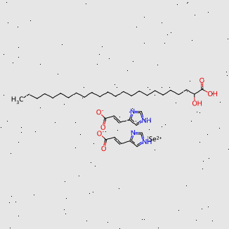 CCCCCCCCCCCCCCCCCCCCCCC(O)C(=O)O.O=C([O-])C=Cc1c[nH]cn1.O=C([O-])C=Cc1c[nH]cn1.[Se+2]